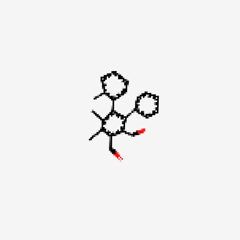 Cc1ccccc1-c1c(C)c(C)c(C=O)c(C=O)c1-c1ccccc1